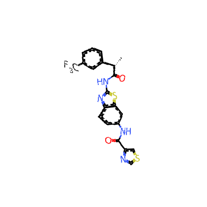 C[C@H](C(=O)Nc1nc2ccc(NC(=O)c3cscn3)cc2s1)c1cccc(C(F)(F)F)c1